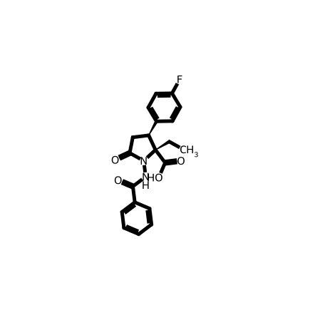 CC[C@]1(C(=O)O)[C@H](c2ccc(F)cc2)CC(=O)N1NC(=O)c1ccccc1